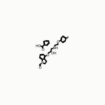 O=C(O)c1ccccc1.O=CN1CCc2c(OCC(O)CNCCOc3ccc(F)cc3)cccc21